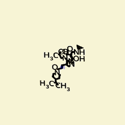 CC(C)Cn1c(=O)c(C(=O)NC2CC2)c(O)n2ncc(/C=C/C(=O)N3CCC(C(C)C)CC3)c12